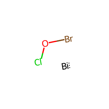 ClOBr.[Bi]